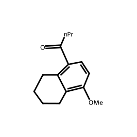 CCCC(=O)c1ccc(OC)c2c1CCCC2